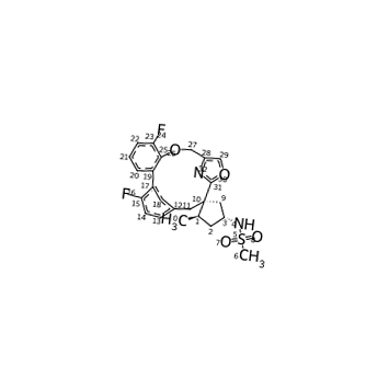 C[C@@H]1C[C@@H](NS(C)(=O)=O)C[C@@]12Cc1ccc(F)c(c1)-c1cccc(F)c1OCc1coc2n1